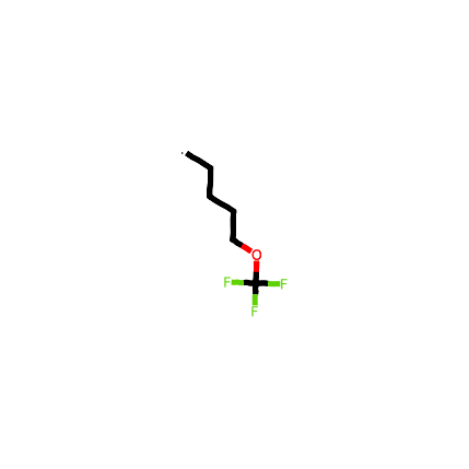 [CH2]CCCCOC(F)(F)F